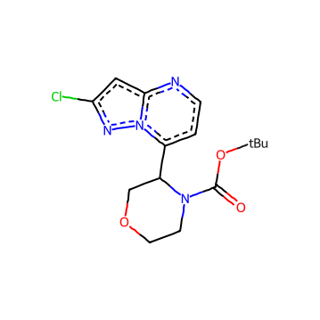 CC(C)(C)OC(=O)N1CCOCC1c1ccnc2cc(Cl)nn12